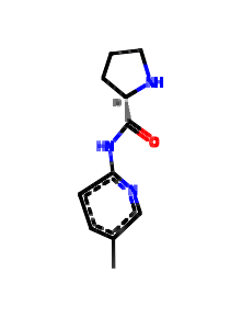 Cc1ccc(NC(=O)[C@@H]2CCCN2)nc1